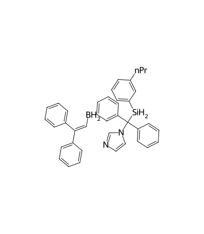 BC=C(c1ccccc1)c1ccccc1.CCCc1cccc([SiH2]C(c2ccccc2)(c2ccccc2)n2ccnc2)c1